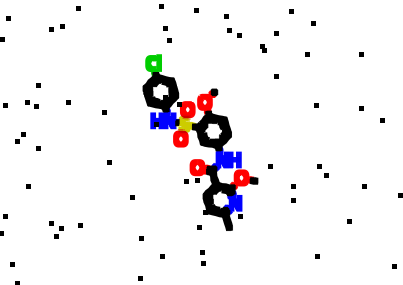 COc1ccc(NC(=O)c2ccc(C)nc2OC)cc1S(=O)(=O)Nc1ccc(Cl)cc1